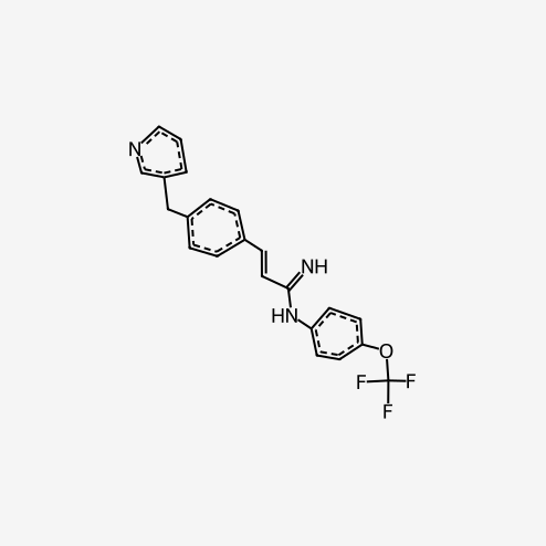 N=C(/C=C/c1ccc(Cc2cccnc2)cc1)Nc1ccc(OC(F)(F)F)cc1